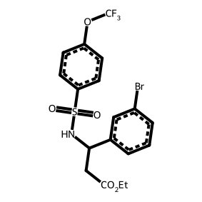 CCOC(=O)CC(NS(=O)(=O)c1ccc(OC(F)(F)F)cc1)c1cccc(Br)c1